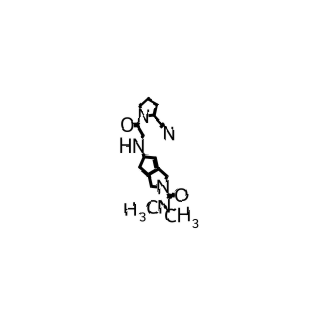 CN(C)C(=O)N1CC2=CC(NCC(=O)N3CCCC3C#N)CC2C1